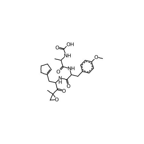 COc1ccc(CC(NC(=O)C(C)NC(=O)O)C(=O)NC(CC2=CCCC2)C(=O)C2(C)CO2)cc1